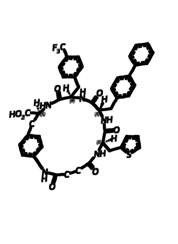 O=C1CCC(=O)N[C@H](Cc2cccs2)C(=O)N[C@@H](Cc2ccc(-c3ccccc3)cc2)C(=O)N[C@H](Cc2ccc(C(F)(F)F)cc2)C(=O)N[C@H](C(=O)O)Cc2ccc(cc2)N1